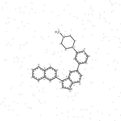 CN1CCN(c2cc(-c3cnc4[nH]cc(-c5ccc6ncccc6c5)c4c3)ccn2)CC1